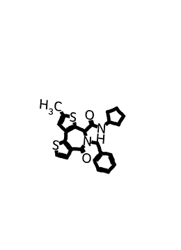 Cc1cc2c(s1)C(C(=O)NC1CCCC1)N(Cc1ccccc1)C(=O)c1ccsc1-2